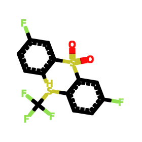 O=S1(=O)c2cc(F)ccc2[SH](C(F)(F)F)c2ccc(F)cc21